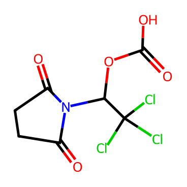 O=C(O)OC(N1C(=O)CCC1=O)C(Cl)(Cl)Cl